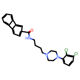 O=C(NCCCCN1CCN(c2cccc(Cl)c2Cl)CC1)c1ccc2c(c1)-c1ccccc1-2